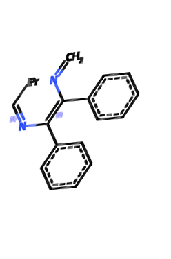 C=N/C(=C(\N=C/C(C)C)c1ccccc1)c1ccccc1